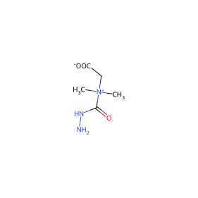 C[N+](C)(CC(=O)[O-])C(=O)NN